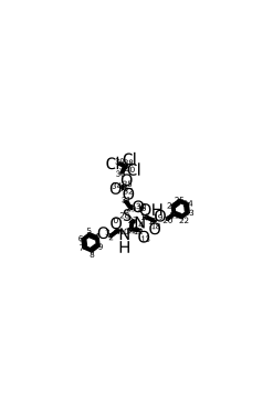 O=C(COc1ccccc1)NC1C(=O)N(C(O)C(=O)OCc2ccccc2)C1SC(=O)COC(=O)OCC(Cl)(Cl)Cl